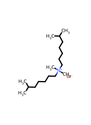 CC(C)CCCCC[N+](C)(C)CCCCCC(C)C.[Br-]